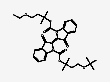 CCOCCC(C)(C)OC(=O)N1/C(=C2\C(=O)c3ccccc3N2C(=O)OC(C)(C)CCOC(C)(C)C)C(=O)c2ccccc21